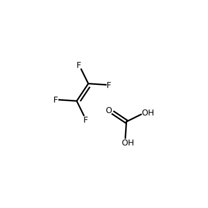 FC(F)=C(F)F.O=C(O)O